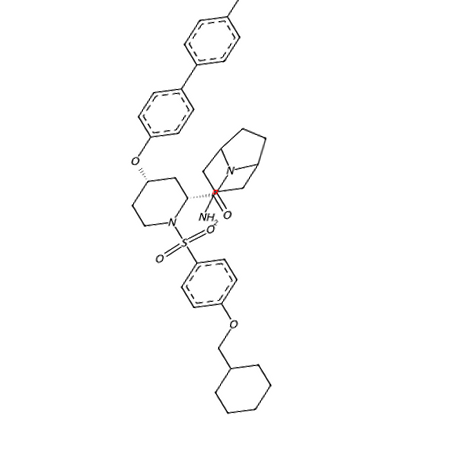 NC1CC2CCC(C1)N2C(=O)[C@H]1C[C@@H](Oc2ccc(-c3ccc(Cl)cc3)cc2)CCN1S(=O)(=O)c1ccc(OCC2CCCCC2)cc1